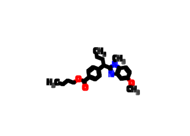 CCCCOC(=O)c1ccc(C(CCC)c2nc3cc(OC)ccc3n2C)cc1